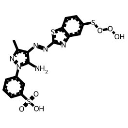 Cc1nn(-c2cccc(S(=O)(=O)O)c2)c(N)c1N=Nc1nc2cc(SOOO)ccc2s1